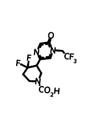 O=C(O)N1CCC(F)(F)C(c2cn(CC(F)(F)F)c(=O)cn2)C1